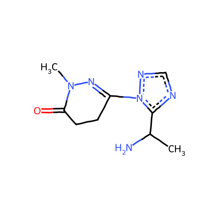 CC(N)c1ncnn1C1=NN(C)C(=O)CC1